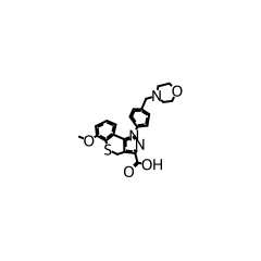 COc1cccc2c1SCc1c(C(=O)O)nn(-c3ccc(CN4CCOCC4)cc3)c1-2